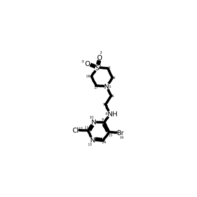 O=S1(=O)CCN(CCNc2nc(Cl)ncc2Br)CC1